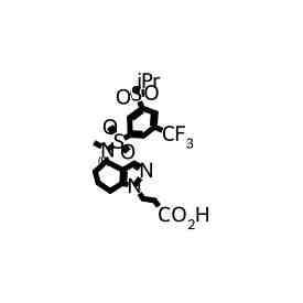 CC(C)S(=O)(=O)c1cc(C(F)(F)F)cc(S(=O)(=O)N(C)[C@@H]2CCCc3c2cnn3CCC(=O)O)c1